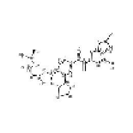 Cc1cn2cc(NC(=O)c3cnc(N4CC[C@@H](CN(C)CC(F)F)C4)c(C4CCCC4)n3)cc(F)c2n1